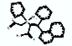 C[N+](CC(=O)[O-])(/C(C(N)=O)=C(\c1ccccc1)c1cccc2ccccc12)c1ccccc1